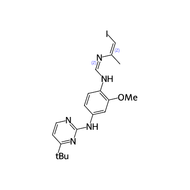 COc1cc(Nc2nccc(C(C)(C)C)n2)ccc1N/C=N\C(C)=C/I